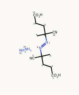 CC(C#N)(CCC(=O)O)N=NC(C)(C#N)CCC(=O)O.N.N